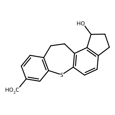 O=C(O)c1ccc2c(c1)Sc1ccc3c(c1CC2)C(O)CC3